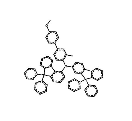 COc1ccc(-c2ccc(N(c3ccc4c(c3)C(c3ccccc3)(c3ccccc3)c3ccccc3-4)c3cccc4c3-c3ccccc3C4(c3ccccc3)c3ccccc3)c(C)c2)cc1